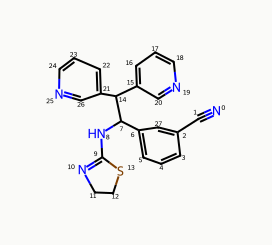 N#Cc1cccc(C(NC2=NCCS2)C(c2cccnc2)c2cccnc2)c1